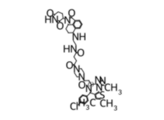 Cc1sc2c(c1C)C(c1ccc(Cl)cc1)=N[C@@H](CC(=O)N1CCN(C(=O)CCC(=O)NCCNC3CCC4c5c(cccc53)C(=O)N4C3CCC(=O)NC3=O)CC1)c1nnc(C)n1-2